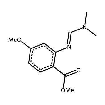 COC(=O)c1ccc(OC)cc1N=CN(C)C